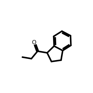 CCC(=O)C1CCc2ccccc21